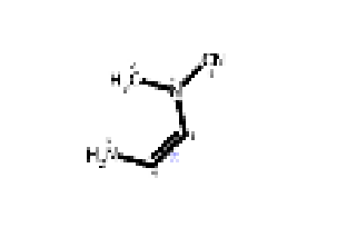 CN(C#N)/C=C\N